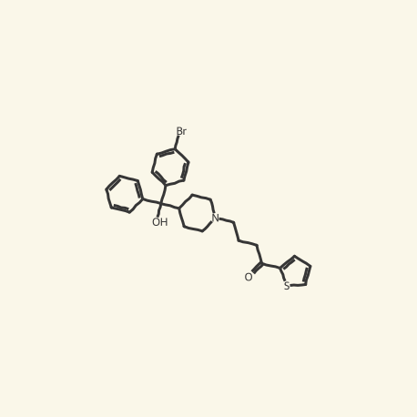 O=C(CCCN1CCC(C(O)(c2ccccc2)c2ccc(Br)cc2)CC1)c1cccs1